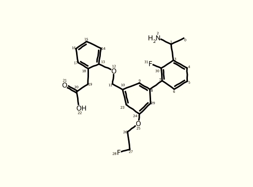 CC(N)c1cccc(-c2cc(COc3ccccc3CC(=O)O)cc(OCCF)c2)c1F